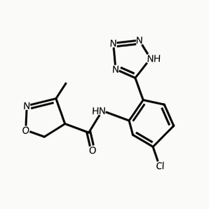 CC1=NOCC1C(=O)Nc1cc(Cl)ccc1-c1nnn[nH]1